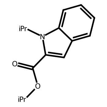 CC(C)OC(=O)c1cc2ccccc2n1C(C)C